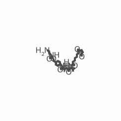 CC(C)[C@H](NC(=O)CCCCCN1C(=O)C=CC1=O)C(=O)N[C@@H](C)C(=O)Nc1ccc(COC(=O)NCCN)cc1